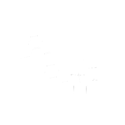 COc1nc(C)cc(C2(O)C(=O)N(CC3CCC(NC(=O)c4cc(Cl)cnc4C(F)F)CC3)c3ccccc32)c1F